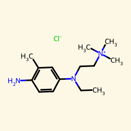 CCN(CC[N+](C)(C)C)c1ccc(N)c(C)c1.[Cl-]